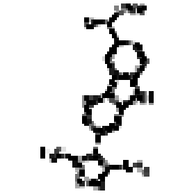 COC(=O)c1ccc2[nH]c3cc(-c4c(C)nnn4C)cnc3c2c1